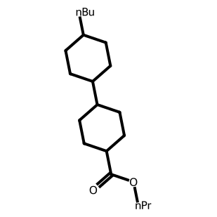 CCCCC1CCC(C2CCC(C(=O)OCCC)CC2)CC1